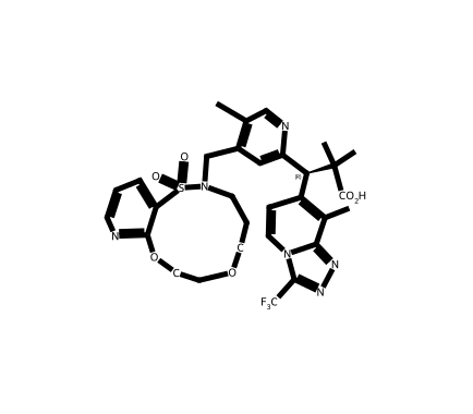 Cc1cnc([C@H](c2ccn3c(C(F)(F)F)nnc3c2C)C(C)(C)C(=O)O)cc1CN1CCCOCCOc2ncccc2S1(=O)=O